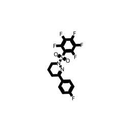 O=S(=O)(c1c(F)c(F)c(F)c(F)c1F)N1CCCC(c2ccc(F)cc2)=N1